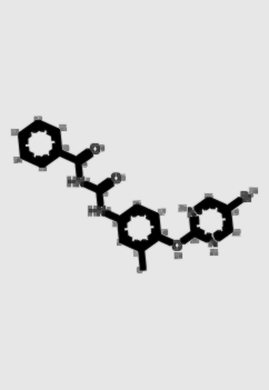 Cc1cc(NC(=O)NC(=O)c2ccccc2)ccc1Oc1ncc(Br)cn1